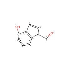 O=CC1C=Cc2c(O)cccc21